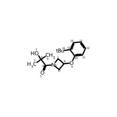 CC(C)(O)C(=O)N1CC(Oc2ccccc2C(C)(C)C)C1